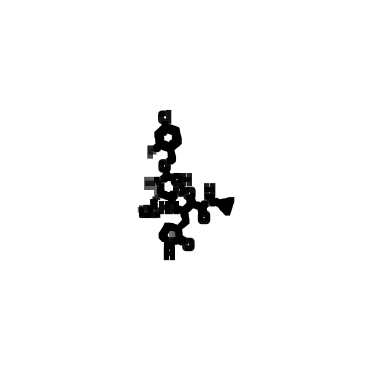 CC(C)(C)C[C@H](NC(O)OCc1ccc(Cl)cc1F)C(=O)NC(C[C@@H]1CCNC1=O)C(=O)C(=O)NC1CC1